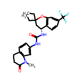 CCC1(CC)C[C@@H](NC(=O)Nc2ccc3c(c2)N(C)C(=O)CC3)c2ccc(C(F)(F)F)cc2O1